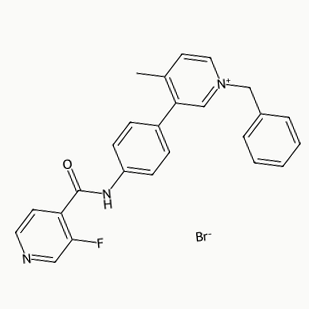 Cc1cc[n+](Cc2ccccc2)cc1-c1ccc(NC(=O)c2ccncc2F)cc1.[Br-]